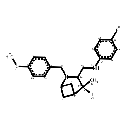 COc1ccc(CN2C3CC(C3)[C@@H](C)C2CNc2ccc(F)cc2)cc1